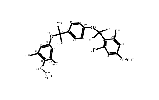 CCCCCc1cc(F)c(C(F)(F)Oc2ccc(C(F)(F)Oc3cc(F)c(OC(F)(F)F)c(F)c3)cc2)c(F)c1